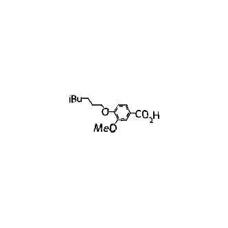 CCC(C)CCCOc1ccc(C(=O)O)cc1OC